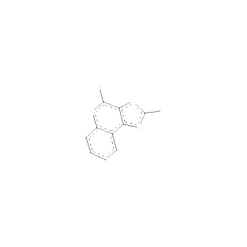 Cc1nc2c(N)nc3ccccc3c2[nH]1